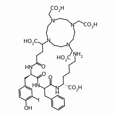 NCCCC[C@@H](NC(=O)C(Cc1ccccc1)NC(=O)[C@@H](Cc1ccc(O)c(I)c1)NC(=O)CCC(C(=O)O)N1CCN(CC(=O)O)CCN(CC(=O)O)CCN(CC(=O)O)CC1)C(=O)O